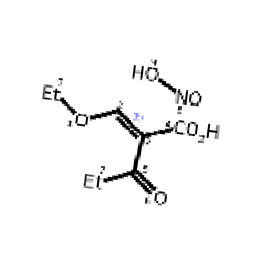 CCO/C=C(/C(=O)O)C(=O)CC.O=NO